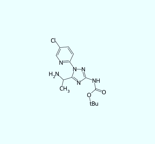 CC(N)c1nc(NC(=O)OC(C)(C)C)nn1-c1ccc(Cl)cn1